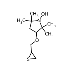 CC1(C)CC(OCC2CS2)C(C)(C)N1O